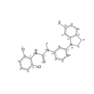 CN(C(=O)Nc1c(Cl)cccc1Cl)c1ccnc(N2CCc3ccc(F)cc32)c1